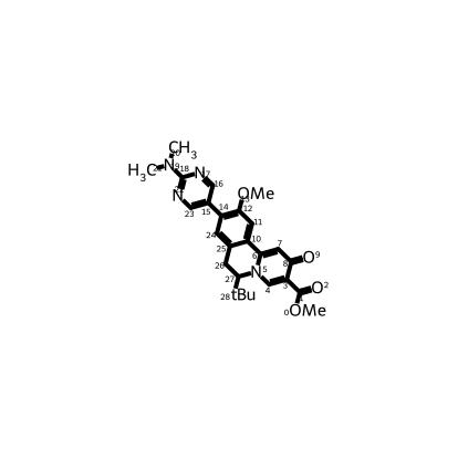 COC(=O)c1cn2c(cc1=O)-c1cc(OC)c(-c3cnc(N(C)C)nc3)cc1CC2C(C)(C)C